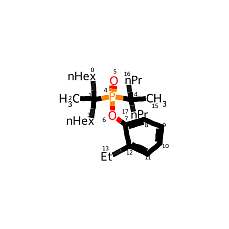 CCCCCCC(C)(CCCCCC)P(=O)(Oc1ccccc1CC)C(C)(CCC)CCC